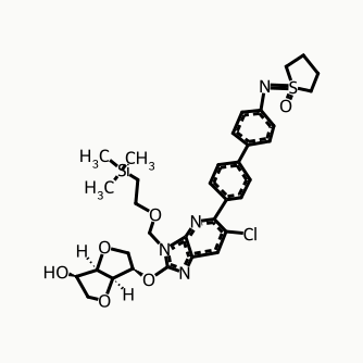 C[Si](C)(C)CCOCn1c(O[C@@H]2CO[C@H]3[C@@H]2OC[C@H]3O)nc2cc(Cl)c(-c3ccc(-c4ccc(N=S5(=O)CCCC5)cc4)cc3)nc21